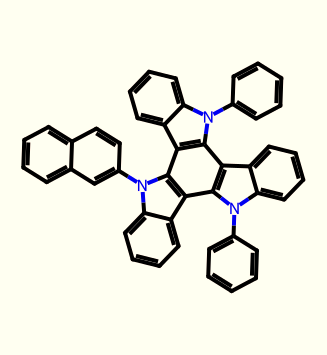 c1ccc(-n2c3ccccc3c3c2c2c4ccccc4n(-c4ccc5ccccc5c4)c2c2c4ccccc4n(-c4ccccc4)c32)cc1